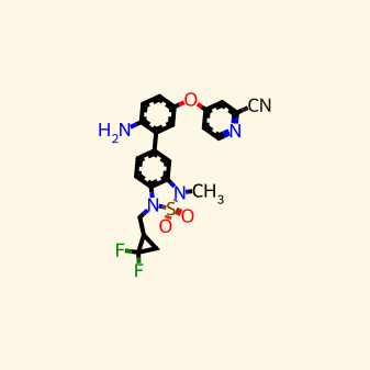 CN1c2cc(-c3cc(Oc4ccnc(C#N)c4)ccc3N)ccc2N(CC2CC2(F)F)S1(=O)=O